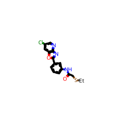 CCSCC(=O)Nc1cccc(-c2nc3ncc(Cl)cc3o2)c1